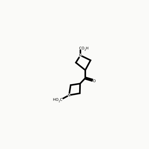 O=C(C1CN(C(=O)O)C1)C1CN(C(=O)O)C1